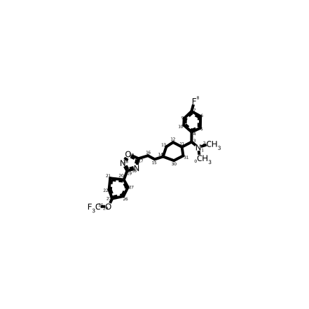 CN(C)C(c1ccc(F)cc1)C1CCC(CCc2nc(-c3ccc(OC(F)(F)F)cc3)no2)CC1